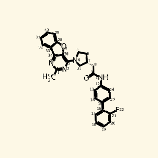 Cc1nc(N2CC[C@H](CC(=O)Nc3ccc(-c4ccccc4F)cc3)C2)c2oc3ccccc3c2n1